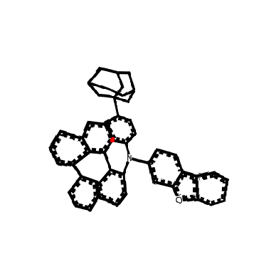 c1ccc(-c2cccc3cccc(-c4ccccc4N(c4ccc(C56CC7CC(CC(C7)C5)C6)cc4)c4ccc5c(c4)oc4ccccc45)c23)cc1